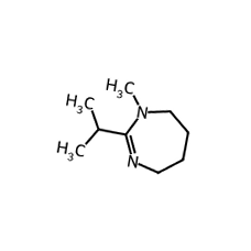 CC(C)C1=NCCCCN1C